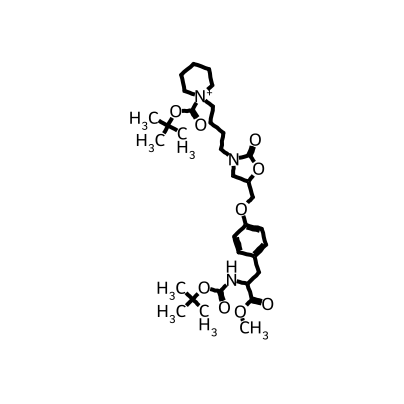 COC(=O)C(Cc1ccc(OCC2CN(CCCC[N+]3(C(=O)OC(C)(C)C)CCCCC3)C(=O)O2)cc1)NC(=O)OC(C)(C)C